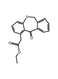 CCOC(=O)Cc1cccc2c1C(=O)c1ccccc1CS2